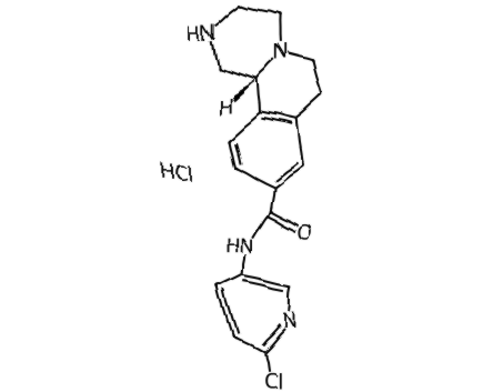 Cl.O=C(Nc1ccc(Cl)nc1)c1ccc2c(c1)CCN1CCNC[C@@H]21